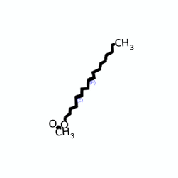 CCCCCCCC/C=C/CC/C=C/CCCCOC(C)=O